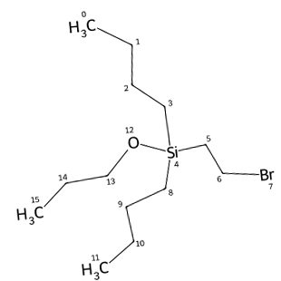 CCCC[Si](CCBr)(CCCC)OCCC